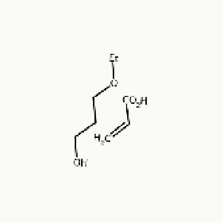 C=CC(=O)O.CCOCCCO